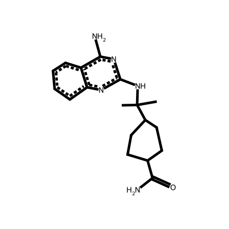 CC(C)(Nc1nc(N)c2ccccc2n1)C1CCC(C(N)=O)CC1